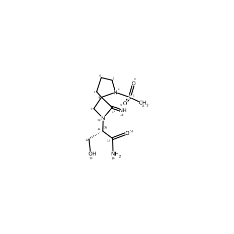 CS(=O)(=O)N1CCCC12CN([C@@H](CO)C(N)=O)C2=N